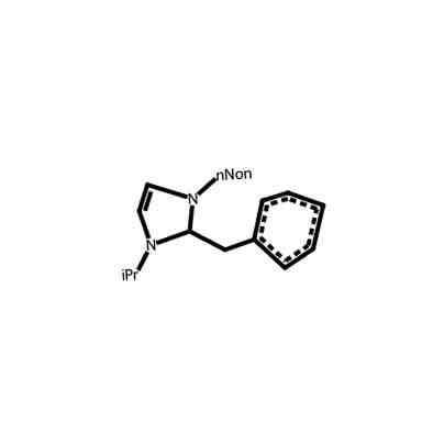 CCCCCCCCCN1C=CN(C(C)C)C1Cc1ccccc1